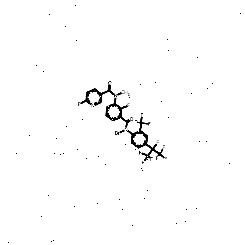 CN(C(=O)c1ccc(F)nc1)c1cccc(C(=O)N(Br)c2ccc(C(F)(C(F)(F)F)C(F)(F)F)cc2C(F)(F)F)c1F